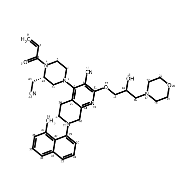 C=CC(=O)N1CCN(c2c(C#N)c(OCC(O)CN3CCOCC3)nc3c2CCN(c2cccc4cccc(C)c24)C3)C[C@@H]1CC#N